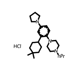 CCCN1CCN(c2ccc(N3CCCC3)cc2C2CCC(C)(C)CC2)CC1.Cl